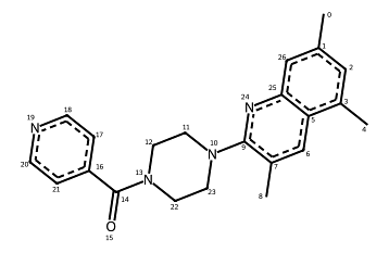 Cc1cc(C)c2cc(C)c(N3CCN(C(=O)c4ccncc4)CC3)nc2c1